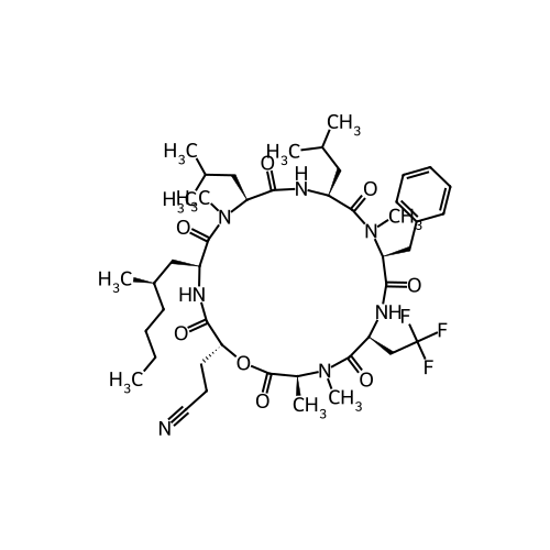 CCCC[C@@H](C)C[C@@H]1NC(=O)[C@@H](CCC#N)OC(=O)[C@H](C)N(C)C(=O)[C@H](CC(F)(F)F)NC(=O)[C@H](Cc2ccccc2)N(C)C(=O)[C@H](CC(C)C)NC(=O)[C@H](CC(C)C)N(C)C1=O